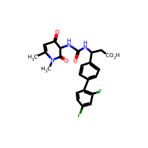 CC1=CC(=O)C(NC(=O)NC(CC(=O)O)c2ccc(-c3ccc(F)cc3F)cc2)C(=O)N1C